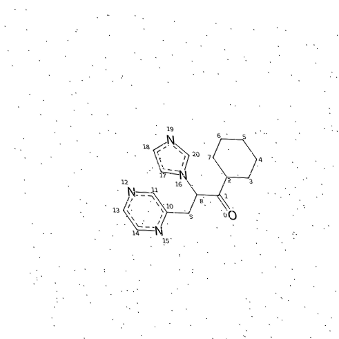 O=C(C1CCCCC1)C(Cc1cnccn1)n1ccnc1